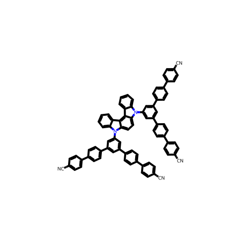 N#Cc1ccc(-c2ccc(-c3cc(-c4ccc(-c5ccc(C#N)cc5)cc4)cc(-n4c5ccccc5c5c6c7ccccc7n(-c7cc(-c8ccc(-c9ccc(C#N)cc9)cc8)cc(-c8ccc(-c9ccc(C#N)cc9)cc8)c7)c6ccc54)c3)cc2)cc1